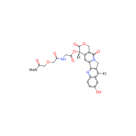 CCc1c2c(nc3ccc(O)cc13)-c1cc3c(c(=O)n1C2)COC(=O)[C@@]3(CC)OC(=O)CNC(=O)COCC(=O)NC